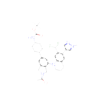 CC(=O)N1Cc2cc(C3CCC(NC(=O)OC(C)(C)C)CC3)cc(N3CCCc4cc(-c5cnn(C)c5)c(C(F)F)cc43)c2C1